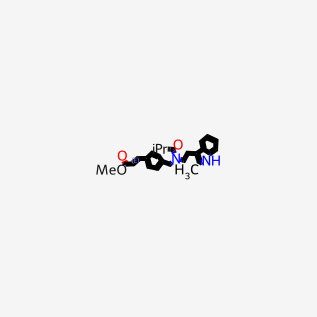 COC(=O)/C=C/c1ccc(CN(CCc2c(C)[nH]c3ccccc23)C(=O)C(C)C)cc1